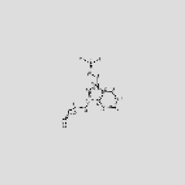 CC(C)=CCn1cc(CC=C=O)c2ccccc21